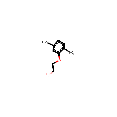 BCCOc1cc(C)ccc1[N+](=O)[O-]